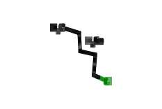 CCCCCCl.[SeH2]